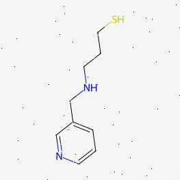 SCCCNCc1cccnc1